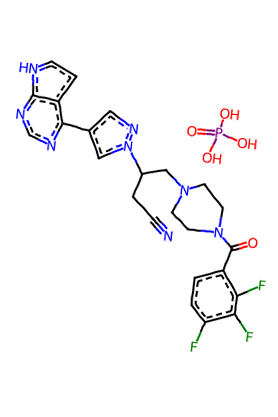 N#CCC(CN1CCN(C(=O)c2ccc(F)c(F)c2F)CC1)n1cc(-c2ncnc3[nH]ccc23)cn1.O=P(O)(O)O